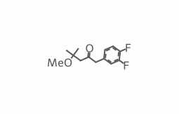 COC(C)(C)CC(=O)Cc1ccc(F)c(F)c1